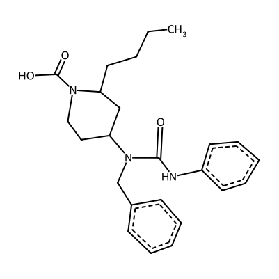 CCCCC1CC(N(Cc2ccccc2)C(=O)Nc2ccccc2)CCN1C(=O)O